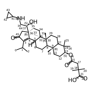 CC(C)C1=C2[C@H]3CCC4[C@@]5(C)CC[C@H](OC(=O)CC(C)(C)C(=O)O)C(C)(C)C5CC[C@@]4(C)[C@]3(C)CC[C@@]2([C@H](O)CNC2CC2)CC1=O